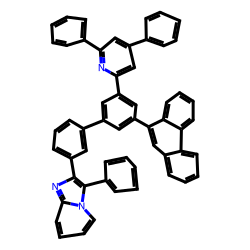 c1ccc(-c2cc(-c3ccccc3)nc(-c3cc(-c4cccc(-c5nc6ccccn6c5-c5ccccc5)c4)cc(-c4cc5ccccc5c5ccccc45)c3)c2)cc1